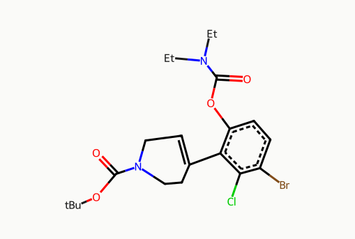 CCN(CC)C(=O)Oc1ccc(Br)c(Cl)c1C1=CCN(C(=O)OC(C)(C)C)CC1